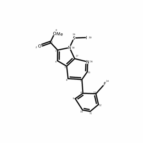 COC(=O)c1cc2cc(-c3ccccc3F)cnc2n1SI